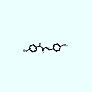 CCC(C)c1ccc(NC(=O)/C=C/c2ccc(C(C)(C)C)cc2)cc1